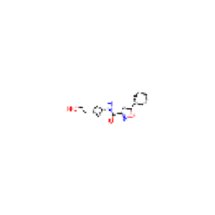 O=C(N[C@H]1C[C@@H](CCO)C1)c1cc(-c2ccccc2)on1